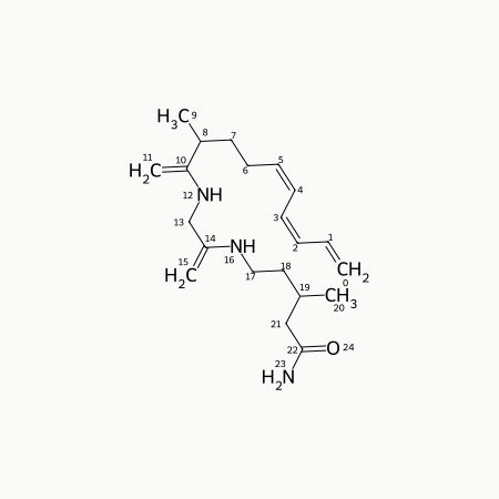 C=C/C=C\C=C/CCC(C)C(=C)NCC(=C)NCCC(C)CC(N)=O